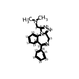 CN(C)Cc1nnc2n1-c1ccccc1C(c1ccccc1)=NC2